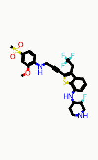 COc1cc(S(C)(=O)=O)ccc1NCC#Cc1sc2c(NC3CCNCC3F)cccc2c1CC(F)(F)F